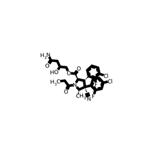 CCC(=O)N1[C@@H](C)[C@](C#N)(c2ccc(Cl)cc2F)[C@@H](c2cccc(Cl)c2F)[C@@H]1C(=O)OCC(O)CC(N)=O